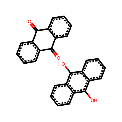 O=C1c2ccccc2C(=O)c2ccccc21.Oc1c2ccccc2c(O)c2ccccc12